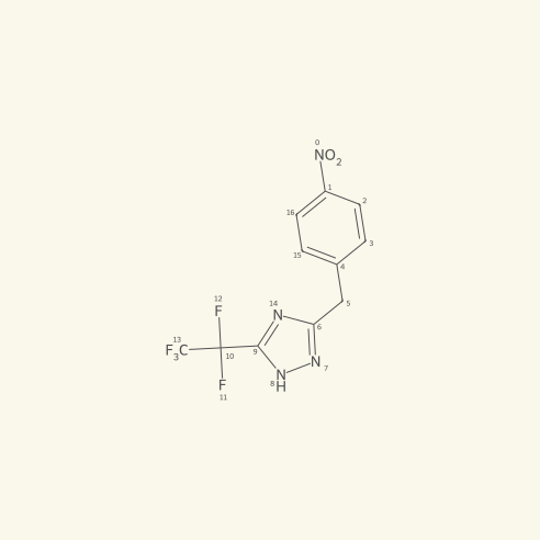 O=[N+]([O-])c1ccc(Cc2n[nH]c(C(F)(F)C(F)(F)F)n2)cc1